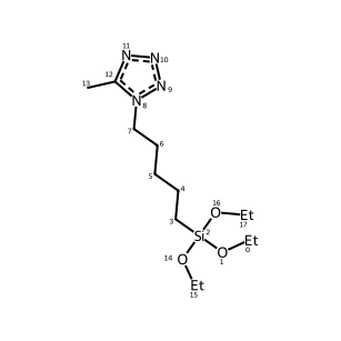 CCO[Si](CCCCCn1nnnc1C)(OCC)OCC